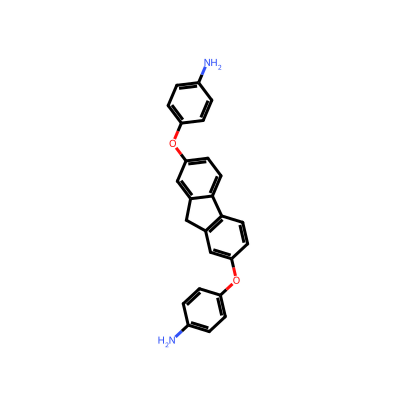 Nc1ccc(Oc2ccc3c(c2)Cc2cc(Oc4ccc(N)cc4)ccc2-3)cc1